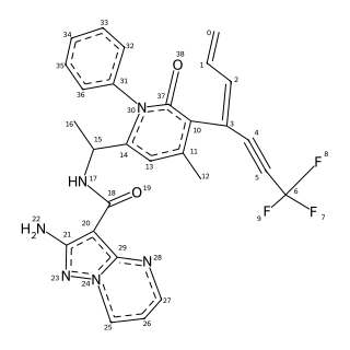 C=C/C=C(/C#CC(F)(F)F)c1c(C)cc(C(C)NC(=O)c2c(N)nn3cccnc23)n(-c2ccccc2)c1=O